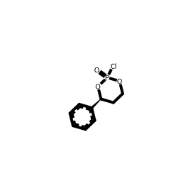 O=P1(Cl)OCC[C@@H](c2ccccc2)O1